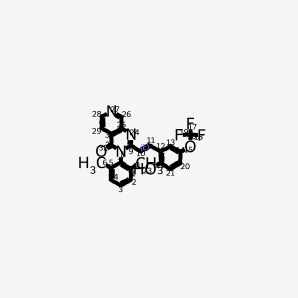 Cc1cccc(C)c1-n1c(/C=C/c2cc(OC(F)(F)F)ccc2O)nc2cnccc2c1=O